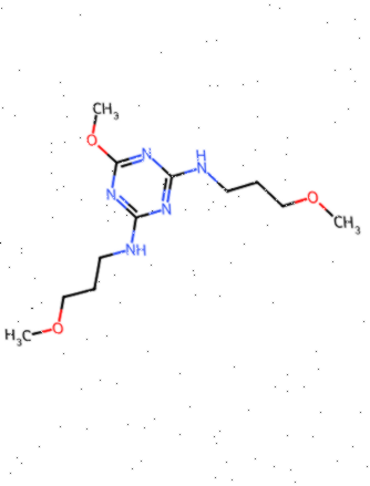 COCCCNc1nc(NCCCOC)nc(OC)n1